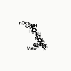 CCCCCCCCOC(=O)NC(=N)c1ccc(NCc2nc3cc(C(C)(NCC(=O)OC)C(=O)N4CCCC4)ccc3n2C)cc1